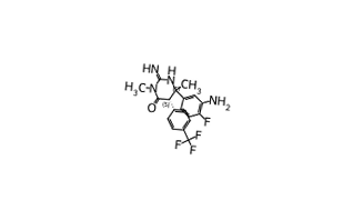 CN1C(=N)N[C@](C)(c2ccc(F)c(N)c2)[C@H](c2ccc(C(F)(F)F)cc2)C1=O